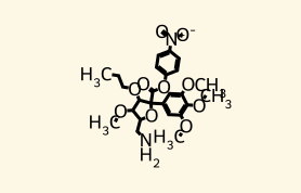 CCCOC1C(OC)C(CN)OC1(C(=O)Oc1ccc([N+](=O)[O-])cc1)c1cc(OC)c(OC)c(OC)c1